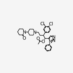 CC(=O)OC(c1cnnn1-c1ccccc1)C(CCN1CCC(N2CCCCC2=O)CC1)c1ccc(Cl)c(Cl)c1